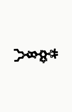 CCCCN(CCCC)c1cc2sc(-c3ncc(B4OC(C)(C)C(C)(C)O4)c4nsnc34)cc2s1